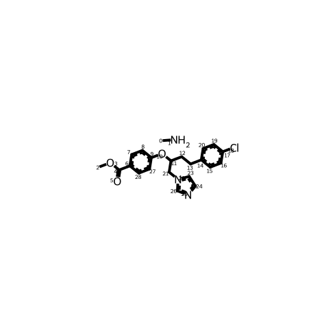 CN.COC(=O)c1ccc(OC(CCc2ccc(Cl)cc2)Cn2ccnc2)cc1